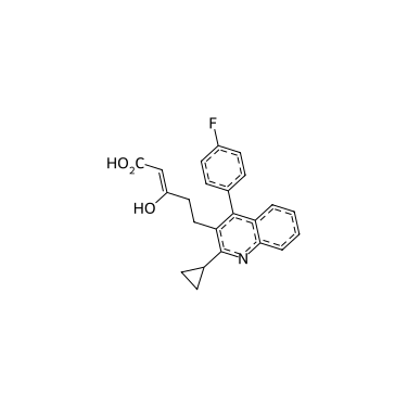 O=C(O)C=C(O)CCc1c(C2CC2)nc2ccccc2c1-c1ccc(F)cc1